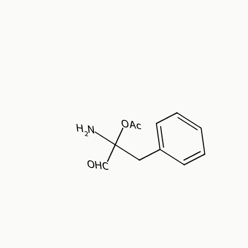 CC(=O)OC(N)(C=O)Cc1ccccc1